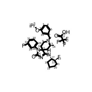 CC(C)Oc1cccc(CN2CCC3(C[C@@H]2C)C(N[C@H]2CCCC[C@@H]2F)=NC(=O)N3c2cccc(F)c2)c1.O=C(O)C(F)(F)F